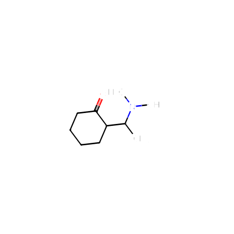 CC(C1CCCCC1=O)N(C)C